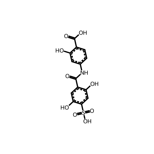 O=C(O)c1ccc(NC(=O)c2cc(O)c(S(=O)(=O)O)cc2O)cc1O